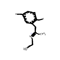 C/C(=N\CO)c1cc(F)ccc1F